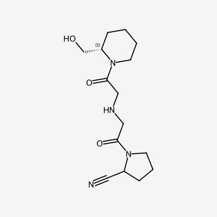 N#CC1CCCN1C(=O)CNCC(=O)N1CCCC[C@H]1CO